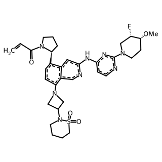 C=CC(=O)N1CCC[C@H]1c1ccc(N2CC(N3CCCCS3(=O)=O)C2)c2cnc(Nc3ccnc(N4CC[C@@H](OC)[C@@H](F)C4)n3)cc12